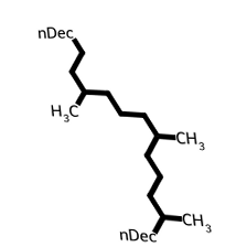 CCCCCCCCCCCCC(C)CCCC(C)CCCC(C)CCCCCCCCCC